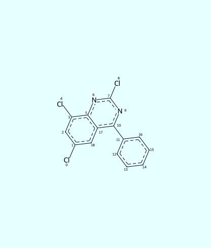 Clc1cc(Cl)c2nc(Cl)nc(-c3ccccc3)c2c1